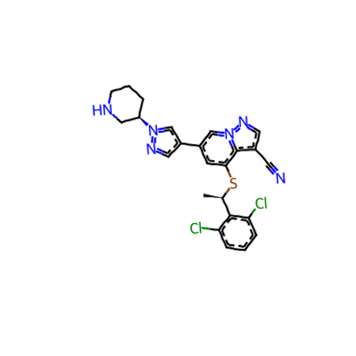 C[C@@H](Sc1cc(-c2cnn([C@@H]3CCCNC3)c2)cn2ncc(C#N)c12)c1c(Cl)cccc1Cl